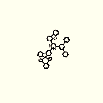 c1ccc(-c2cc(-c3ccccc3)cc(-c3cc(-c4cccc5c4oc4ccccc45)nc(-c4ccc5c(c4)-c4ccccc4C54c5ccccc5-c5ccccc5-c5ccccc54)n3)c2)cc1